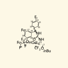 CCCCOC[C@@H](NC(=O)N[C@H](c1ccc(F)cc1)c1cc(F)cc(OC(F)(F)C(F)F)c1)[C@@H](O)C(F)(F)F